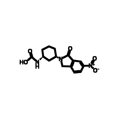 O=C(O)N[C@@H]1CCC[C@H](N2Cc3ccc([N+](=O)[O-])cc3C2=O)C1